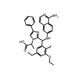 CCOc1cc(CC)cc(C(Nc2ccc3c(N)nccc3c2)c2nc(-c3ccccc3)cn2C(C)C(=O)O)c1F